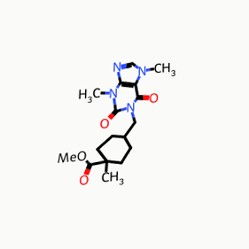 COC(=O)C1(C)CCC(Cn2c(=O)c3c(ncn3C)n(C)c2=O)CC1